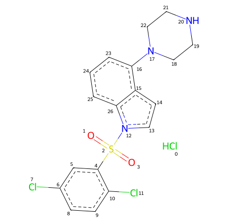 Cl.O=S(=O)(c1cc(Cl)ccc1Cl)n1ccc2c(N3CCNCC3)cccc21